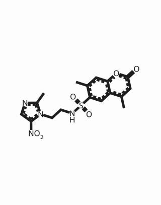 Cc1cc2oc(=O)cc(C)c2cc1S(=O)(=O)NCCn1c([N+](=O)[O-])cnc1C